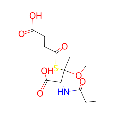 CCC(=O)N[C@H](C(=O)O)C(C)(OC)SC(=O)CCC(=O)O